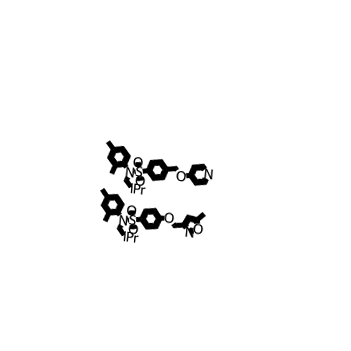 Cc1ccc(N(CC(C)C)S(=O)(=O)c2ccc(COc3ccncc3)cc2)c(C)c1.Cc1ccc(N(CC(C)C)S(=O)(=O)c2ccc(OCc3cc(C)on3)cc2)c(C)c1